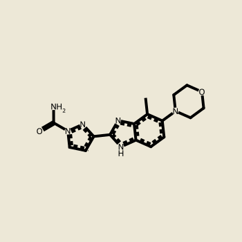 Cc1c(N2CCOCC2)ccc2[nH]c(-c3[c]cn(C(N)=O)n3)nc12